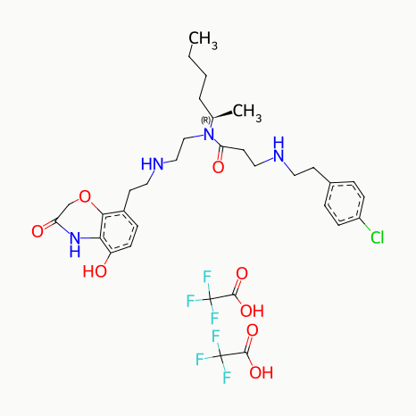 CCCC[C@@H](C)N(CCNCCc1ccc(O)c2c1OCC(=O)N2)C(=O)CCNCCc1ccc(Cl)cc1.O=C(O)C(F)(F)F.O=C(O)C(F)(F)F